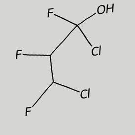 OC(F)(Cl)C(F)C(F)Cl